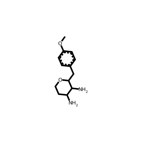 COc1ccc(CC2OCCC(N)C2N)cc1